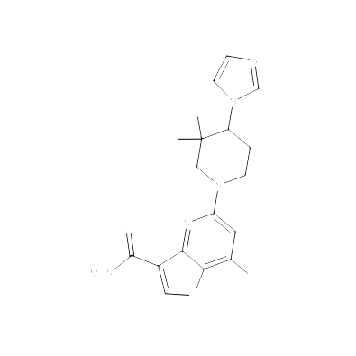 CNC(=O)c1csc2c(C(F)(F)F)cc(N3CCC(n4ccnc4)C(F)(F)C3)nc12